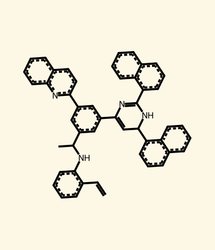 C=Cc1ccccc1NC(C)c1cc(C2=CC(c3cccc4ccccc34)NC(c3cccc4ccccc34)=N2)cc(-c2ccc3ccccc3n2)c1